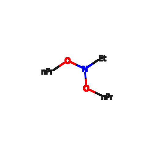 CCCON(CC)OCCC